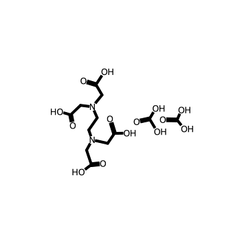 O=C(O)CN(CCN(CC(=O)O)CC(=O)O)CC(=O)O.O=C(O)O.O=C(O)O